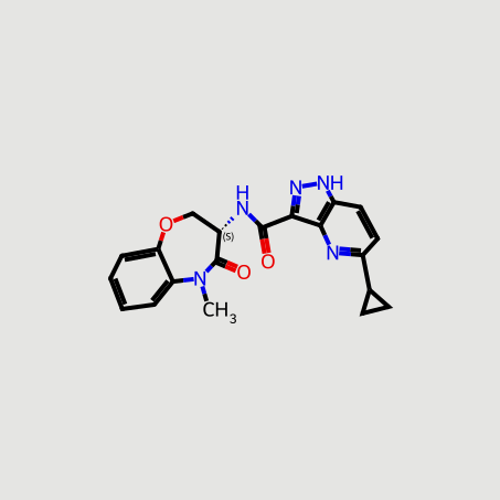 CN1C(=O)[C@@H](NC(=O)c2n[nH]c3ccc(C4CC4)nc23)COc2ccccc21